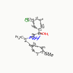 CSc1ccc(CC(C)NC[C@H](O)c2cccc(Cl)c2)cc1